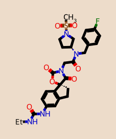 CCNC(=O)Nc1ccc2c(c1)CC[C@@]21OC(=O)N(CC(=O)N(Cc2ccc(F)cc2)[C@@H]2CCN(S(C)(=O)=O)C2)C1=O